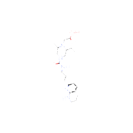 CCC1CN(C(=O)NCCCc2ccc3c(n2)NCCC3)CC(C)N1CC(=O)O